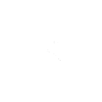 [Fe].[Ni].[S]=[Al][Fe]